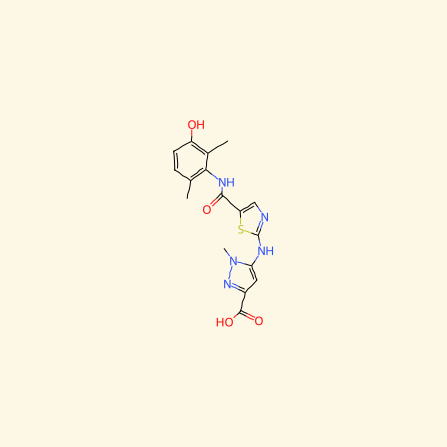 Cc1ccc(O)c(C)c1NC(=O)c1cnc(Nc2cc(C(=O)O)nn2C)s1